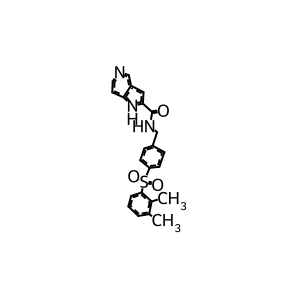 Cc1cccc(S(=O)(=O)c2ccc(CNC(=O)c3cc4cnccc4[nH]3)cc2)c1C